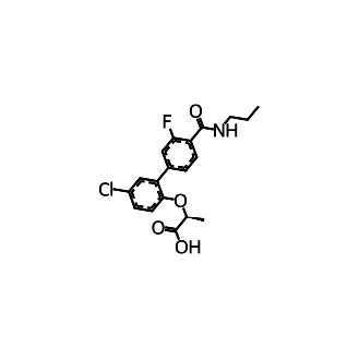 CCCNC(=O)c1ccc(-c2cc(Cl)ccc2O[C@@H](C)C(=O)O)cc1F